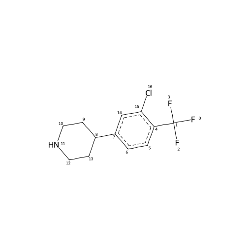 FC(F)(F)c1ccc(C2CCNCC2)cc1Cl